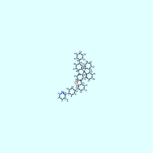 Cc1cccnc1-c1ccc(-c2cccc3c2oc2cc4c(cc23)C2(c3ccccc3-c3ccccc32)c2cc(-c3ccccc3)ccc2-4)cc1